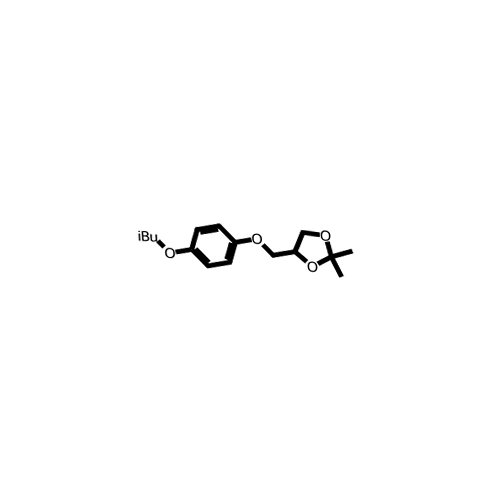 CCC(C)Oc1ccc(OCC2COC(C)(C)O2)cc1